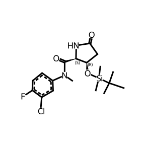 CN(C(=O)[C@H]1NC(=O)C[C@H]1O[Si](C)(C)C(C)(C)C)c1ccc(F)c(Cl)c1